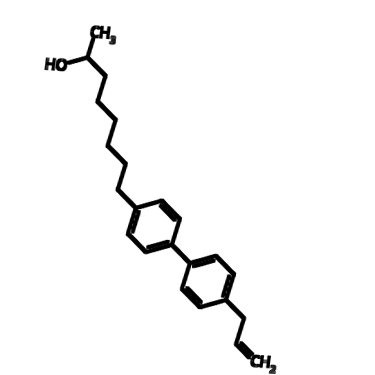 C=CCc1ccc(-c2ccc(CCCCCCC(C)O)cc2)cc1